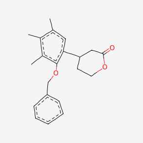 Cc1cc(C2CCOC(=O)C2)c(OCc2ccccc2)c(C)c1C